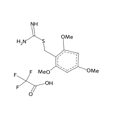 COc1cc(OC)c(CSC(=N)N)c(OC)c1.O=C(O)C(F)(F)F